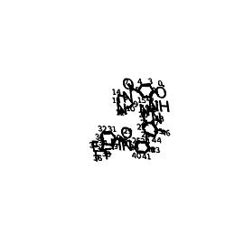 COc1ccc(C(=O)N2CCN(C)CC2)cc1Nc1ncc2cc(-c3cc(NC(=O)c4cccc(C(F)(F)F)c4)ccc3C)cc(C)c2n1